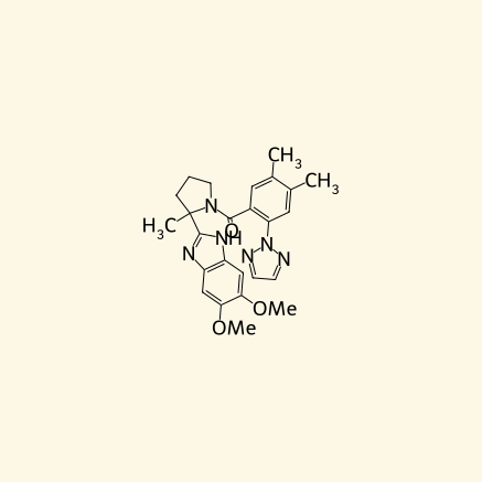 COc1cc2nc(C3(C)CCCN3C(=O)c3cc(C)c(C)cc3-n3nccn3)[nH]c2cc1OC